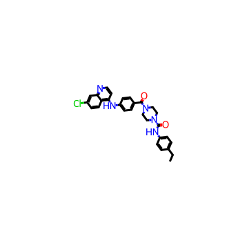 CCc1ccc(NC(=O)N2CCN(C(=O)c3ccc(Nc4ccnc5cc(Cl)ccc45)cc3)CC2)cc1